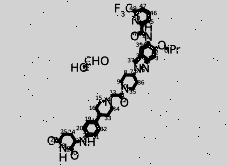 CC(C)Oc1cc2nn(C3CCN(C(=O)CN4CCC(c5ccc(NC6CCC(=O)NC6=O)cc5)CC4)CC3)cc2cc1NC(=O)c1cccc(C(F)(F)F)n1.O=CO